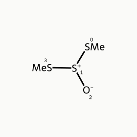 CS[S+]([O-])SC